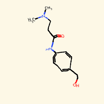 CN(C)CCC(=O)Nc1ccc(CO)cc1